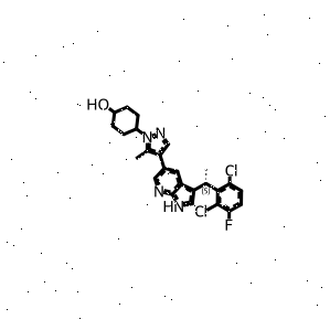 Cc1c(-c2cnc3[nH]cc([C@H](C)c4c(Cl)ccc(F)c4Cl)c3c2)cnn1C1CCC(O)CC1